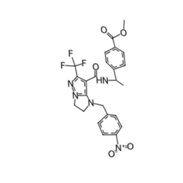 COC(=O)c1ccc(C(C)NC(=O)c2c(C(F)(F)F)nn3c2N(Cc2ccc([N+](=O)[O-])cc2)CC3)cc1